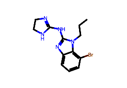 CCCn1c(NC2=NCCN2)nc2cccc(Br)c21